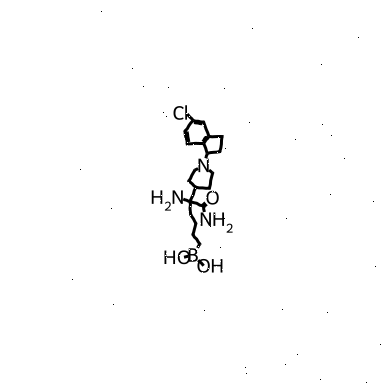 NC(=O)C(N)(CCCCB(O)O)C1CCN(C2CCc3cc(Cl)ccc32)CC1